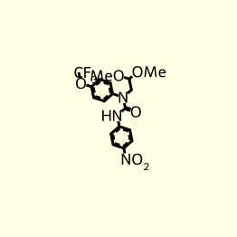 COC(CN(C(=O)Nc1ccc([N+](=O)[O-])cc1)c1ccc(OC(F)(F)F)cc1)OC